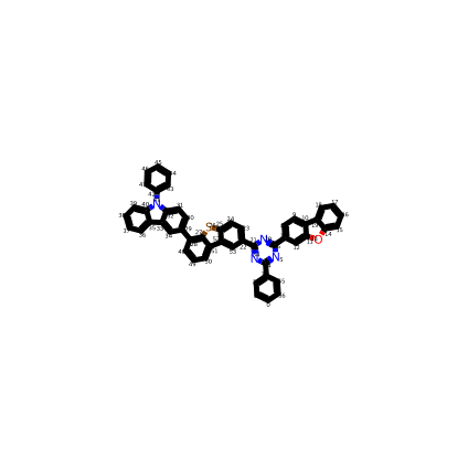 c1ccc(-c2nc(-c3ccc4c(c3)oc3ccccc34)nc(-c3ccc4sc5c(-c6ccc7c(c6)c6ccccc6n7-c6ccccc6)cccc5c4c3)n2)cc1